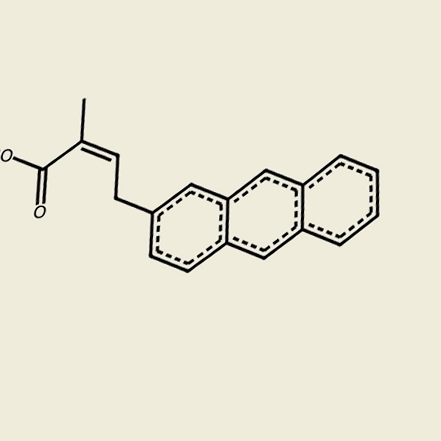 CC(=CCc1ccc2cc3ccccc3cc2c1)C(=O)O